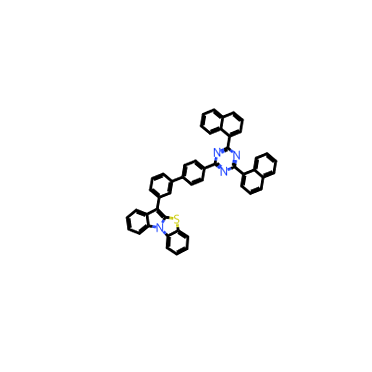 c1cc(-c2ccc(-c3nc(-c4cccc5ccccc45)nc(-c4cccc5ccccc45)n3)cc2)cc(-c2c3ccccc3n3c2sc2ccccc23)c1